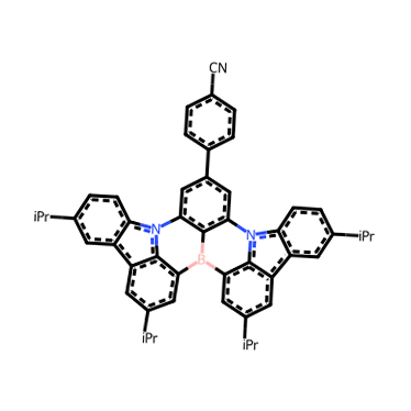 CC(C)c1ccc2c(c1)c1cc(C(C)C)cc3c1n2-c1cc(-c2ccc(C#N)cc2)cc2c1B3c1cc(C(C)C)cc3c4cc(C(C)C)ccc4n-2c13